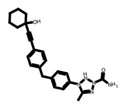 CC1=NN(C(N)=O)NN1c1ccc(Cc2ccc(C#CC3(O)CCCCC3)cc2)cc1